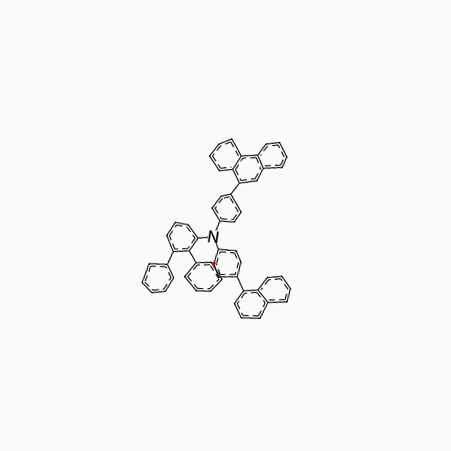 c1ccc(-c2cccc(N(c3ccc(-c4cccc5ccccc45)cc3)c3ccc(-c4cc5ccccc5c5ccccc45)cc3)c2-c2ccccc2)cc1